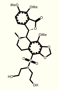 COc1ccc2c(c1OC)C(=O)O[C@@H]2[C@H]1c2c(c(S(=O)(=O)N(CCO)CCO)c3c(c2OC)OCO3)CCN1C